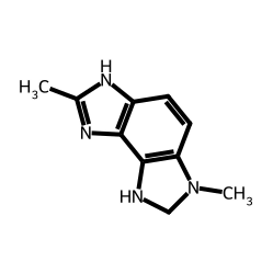 Cc1nc2c3c(ccc2[nH]1)N(C)CN3